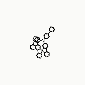 c1ccc(-c2ccc(N(c3ccccc3)c3ccc4c(c3)C3(c5ccccc5-4)c4ccccc4-c4c3cc3c5c(cccc45)-c4ccccc4-3)cc2)cc1